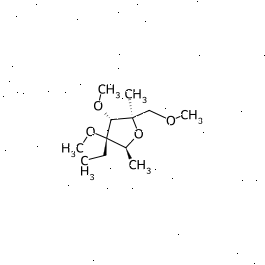 CC[C@]1(OC)[C@H](C)O[C@](C)(COC)[C@H]1OC